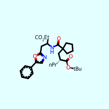 CCC[C@H](CC1(C(=O)NC(Cc2ncc(-c3ccccc3)o2)C(=O)OCC)CCCC1)C(=O)OC(C)(C)C